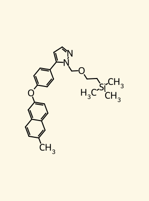 Cc1ccc2cc(Oc3ccc(-c4ccnn4COCC[Si](C)(C)C)cc3)ccc2c1